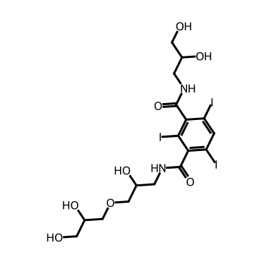 O=C(NCC(O)CO)c1c(I)cc(I)c(C(=O)NCC(O)COCC(O)CO)c1I